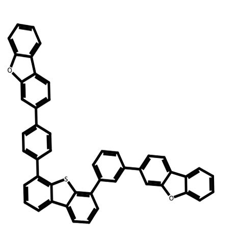 c1cc(-c2ccc3c(c2)oc2ccccc23)cc(-c2cccc3c2sc2c(-c4ccc(-c5ccc6c(c5)oc5ccccc56)cc4)cccc23)c1